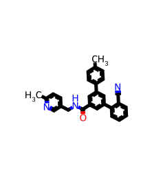 Cc1ccc(-c2cc(C(=O)NCc3ccc(C)nc3)cc(-c3ccccc3C#N)c2)cc1